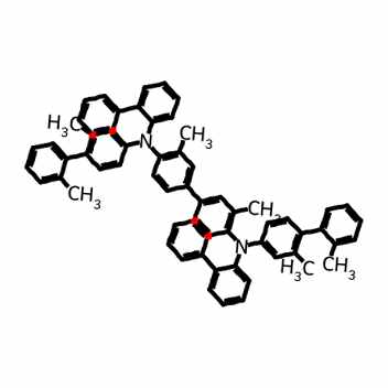 Cc1ccccc1-c1ccc(N(c2ccc(-c3ccc(N(c4ccc(-c5ccccc5C)c(C)c4)c4ccccc4-c4ccccc4)c(C)c3)cc2C)c2ccccc2-c2ccccc2)cc1C